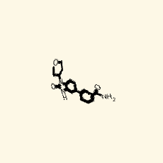 NC(=O)c1cccc(-c2ccc3c(c2)[nH]c(=O)n3C2CCOCC2)c1